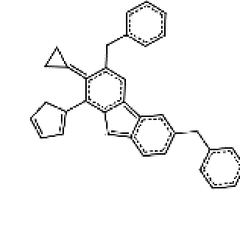 [C]1=c2ccc(Cc3ccccc3)cc2=c2cc(Cc3ccccc3)c(=C3CC3)c(C3=CC=CC3)c21